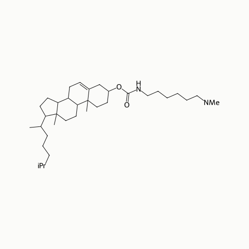 CNCCCCCCNC(=O)OC1CCC2(C)C(=CCC3C2CCC2(C)C(C(C)CCCC(C)C)CCC32)C1